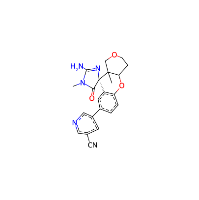 CN1C(=O)[C@]2(N=C1N)c1cc(-c3cncc(C#N)c3)ccc1OC1CCOCC12C